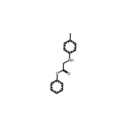 Cc1ccc(NCC(=O)Oc2ccccc2)cc1